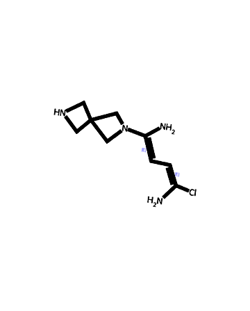 N/C(Cl)=C\C=C(/N)N1CC2(CNC2)C1